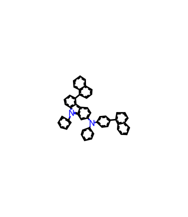 c1ccc(N(c2ccc(-c3cccc4ccccc34)cc2)c2ccc3c4c(-c5cccc6ccccc56)cccc4n(-c4ccccc4)c3c2)cc1